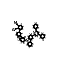 N#Cc1cccc(-c2ccc3oc4ccc(-n5c6ccccc6c6cc(-c7nc(-c8ccccc8)cc(-c8ccccc8)n7)ccc65)cc4c3c2)c1C#N